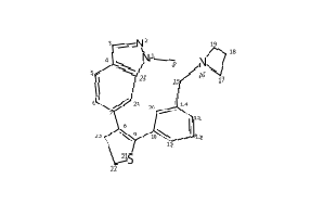 Cn1ncc2ccc(C3=C(c4cccc(CN5CCC5)c4)SCC3)cc21